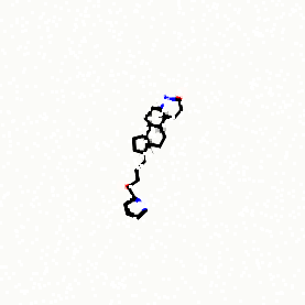 CN1C(=O)CC[C@]2(C)[C@H]3CC[C@]4(C)[C@@H](CCCC(=O)c5ccccn5)CC[C@H]4[C@@H]3CC[C@@H]12